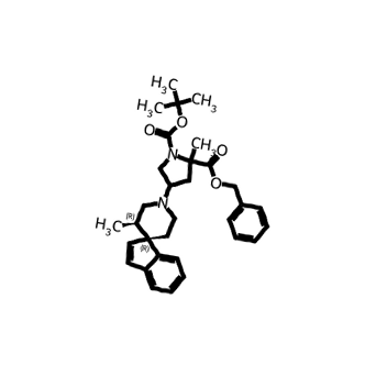 C[C@H]1CN(C2CN(C(=O)OC(C)(C)C)C(C)(C(=O)OCc3ccccc3)C2)CC[C@@]12C=Cc1ccccc12